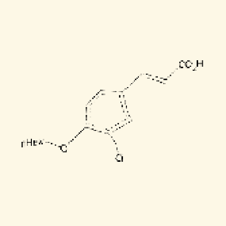 CCCCCCOc1ccc(/C=C/C(=O)O)cc1Cl